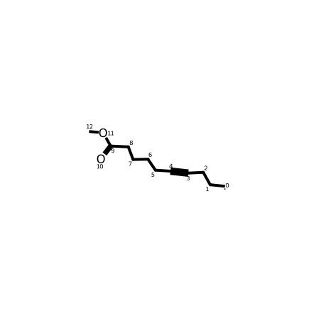 [CH2]CCC#CCCCCC(=O)OC